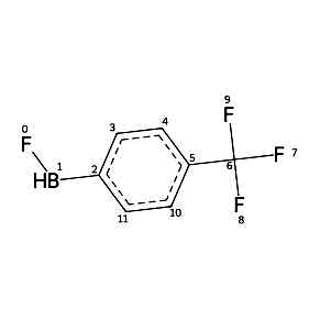 FBc1ccc(C(F)(F)F)cc1